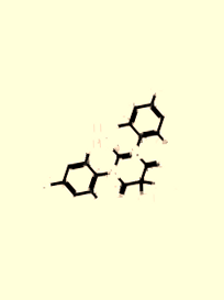 Cc1cc(Br)cc(C)c1N1C(=O)C(C)(C)C(=O)[N+](c2c(C)cc(Br)cc2C)=C1O